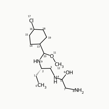 CC[C@@H](CNC(O)CN)NC(OC)C1CCC(Cl)CC1